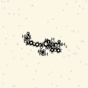 Cn1c(=O)n(C2CCC(=O)NC2=O)c2ccc(CC3CCC(CC(=O)N4CC[C@H]5CC[C@@H](C(=O)N[C@@H](CCC(N)=O)C(=O)NC(c6ccccc6)c6ccccc6)N5C(=O)[C@@H](N)C4)CC3)cc21.O=C(O)C(F)(F)F